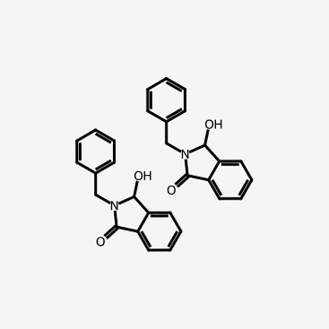 O=C1c2ccccc2C(O)N1Cc1ccccc1.O=C1c2ccccc2C(O)N1Cc1ccccc1